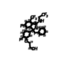 O=C(NCC(F)(F)F)NC(Cc1ccccc1)(c1cc(F)cc(C(F)(F)F)c1)c1ccc(F)c(OCCO)c1